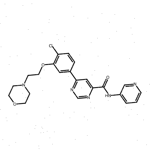 O=C(Nc1cccnc1)c1cc(-c2ccc(Cl)c(OCCN3CCOCC3)c2)ncn1